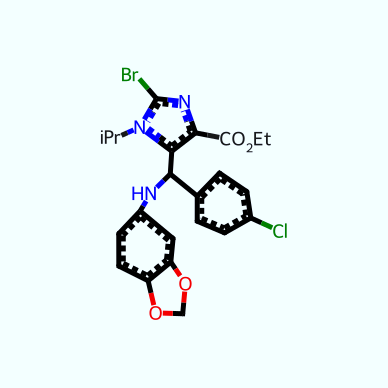 CCOC(=O)c1nc(Br)n(C(C)C)c1C(Nc1ccc2c(c1)OCO2)c1ccc(Cl)cc1